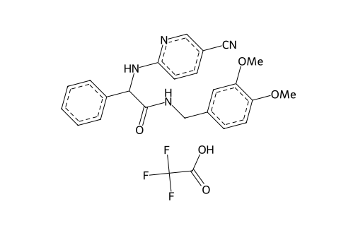 COc1ccc(CNC(=O)C(Nc2ccc(C#N)cn2)c2ccccc2)cc1OC.O=C(O)C(F)(F)F